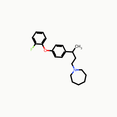 CC(CCN1CCCCCC1)c1ccc(Oc2ccccc2F)cc1